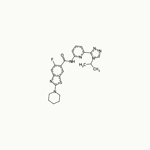 CC(C)n1cnnc1-c1cccc(NC(=O)c2cc3sc(N4CCCCC4)nc3cc2F)n1